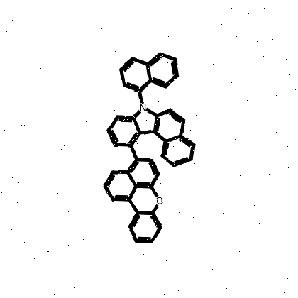 c1ccc2c(c1)Oc1ccc(-c3cccc4c3c3c5ccccc5ccc3n4-c3cccc4ccccc34)c3cccc-2c13